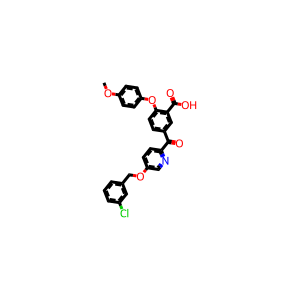 COc1ccc(Oc2ccc(C(=O)c3ccc(OCc4cccc(Cl)c4)cn3)cc2C(=O)O)cc1